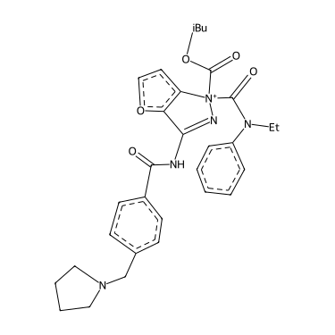 CCC(C)OC(=O)[N+]1(C(=O)N(CC)c2ccccc2)N=C(NC(=O)c2ccc(CN3CCCC3)cc2)c2occc21